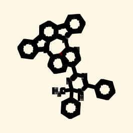 CC1(c2ccccc2)N=C(c2ccc(-n3c4ccccc4c4ccc5c6ccccc6n(-c6ccccc6)c5c43)nc2)N=C(c2ccccc2)N1